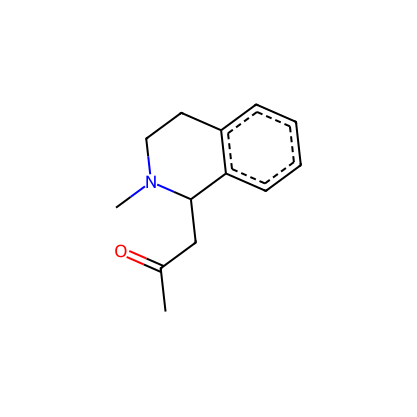 CC(=O)CC1c2ccccc2CCN1C